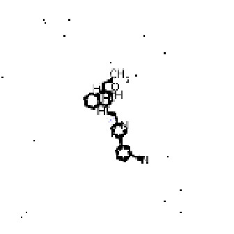 C=C1C[C@H]2[C@@H]3CCCC[C@H]3[C@H](/C=C/c3ccc(-c4cccc(C#N)c4)cn3)C[C@H]2O1